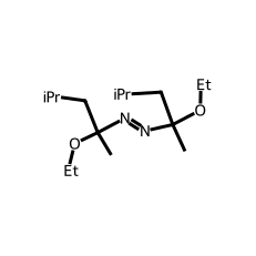 CCOC(C)(CC(C)C)N=NC(C)(CC(C)C)OCC